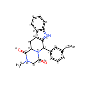 COc1cccc(C2c3[nH]c4ccccc4c3CC3C(=O)N(C)CC(=O)N32)c1